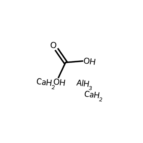 O=C(O)O.[AlH3].[CaH2].[CaH2]